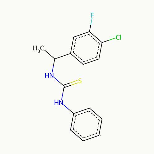 CC(NC(=S)Nc1cc[c]cc1)c1ccc(Cl)c(F)c1